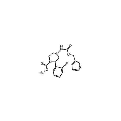 CC(C)(C)OC(=O)N1CCN(NC(=O)OCc2ccccc2)CC1c1ccccc1F